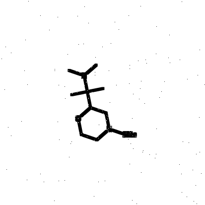 CSN1CCOC(C(C)(C)N(C)C)C1